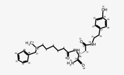 CN(CCCCCC(=O)N[C@H](CC(=O)NCCc1ccc(O)cc1)C(N)=O)Cc1ccccc1